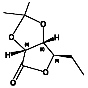 CC[C@H]1OC(=O)[C@@H]2OC(C)(C)O[C@H]12